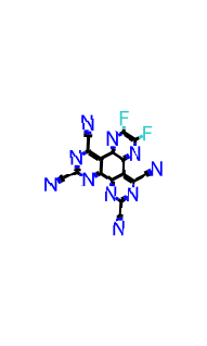 N#Cc1nc(C#N)c2c(n1)c1nc(C#N)nc(C#N)c1c1nc(F)c(F)nc12